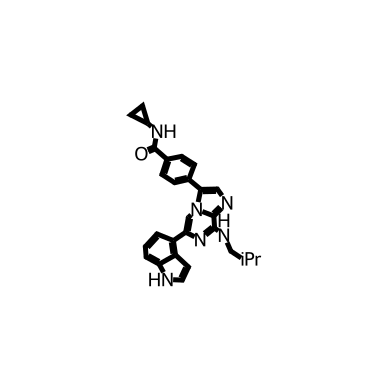 CC(C)CNc1nc(-c2cccc3[nH]ccc23)cn2c(-c3ccc(C(=O)NC4CC4)cc3)cnc12